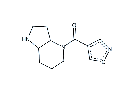 O=C(c1cnoc1)N1CCCC2NCCC21